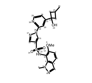 COc1ccc2cnn(C)c2c1NS(=O)(=O)c1cnn(-c2cc(C3(O)CC(C)C3)ccn2)c1